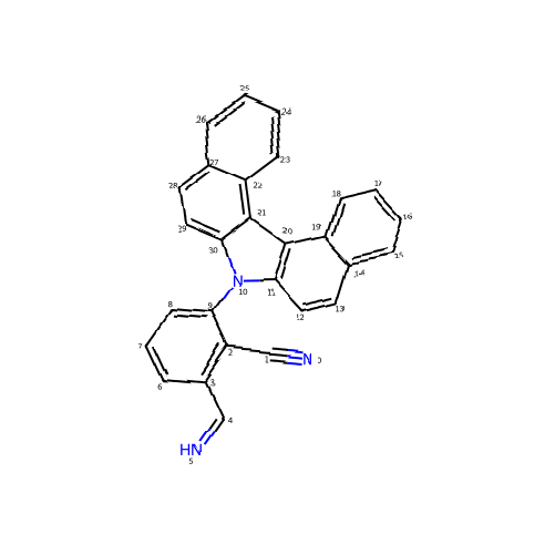 N#Cc1c(C=N)cccc1-n1c2ccc3ccccc3c2c2c3ccccc3ccc21